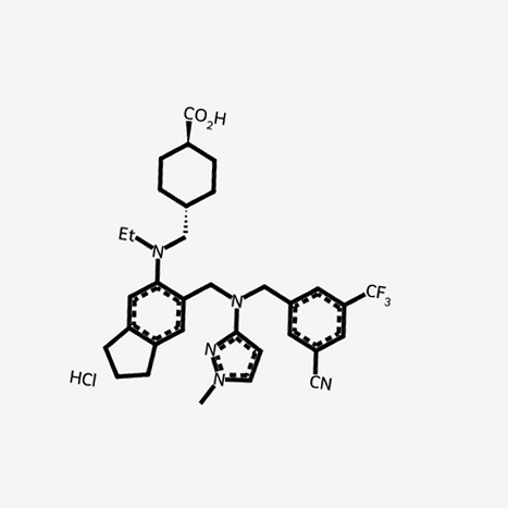 CCN(C[C@H]1CC[C@H](C(=O)O)CC1)c1cc2c(cc1CN(Cc1cc(C#N)cc(C(F)(F)F)c1)c1ccn(C)n1)CCC2.Cl